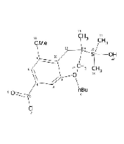 CCCCOc1cc(C(=O)Cl)cc(OC)c1CC(C)(C)[Si](C)(C)O